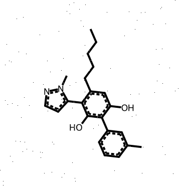 CCCCCc1cc(O)c(-c2cccc(C)c2)c(O)c1-c1ccnn1C